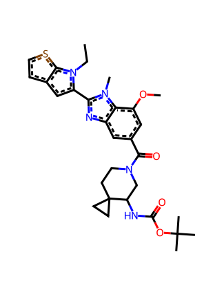 CCn1c(-c2nc3cc(C(=O)N4CCC5(CC5)C(NC(=O)OC(C)(C)C)C4)cc(OC)c3n2C)cc2ccsc21